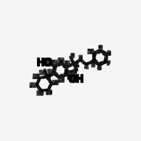 CC(C)(CCc1ccccc1)c1cc(O)c(C2(C)CCCCC2)cc1O